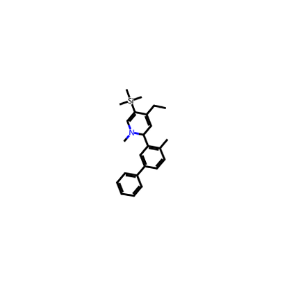 CCC1=CC(c2cc(-c3ccccc3)ccc2C)N(C)C=C1[Si](C)(C)C